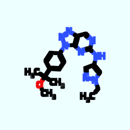 CCn1cc(Nc2ncc3nnn(-c4ccc(C(C)(C)OC)cc4)c3n2)cn1